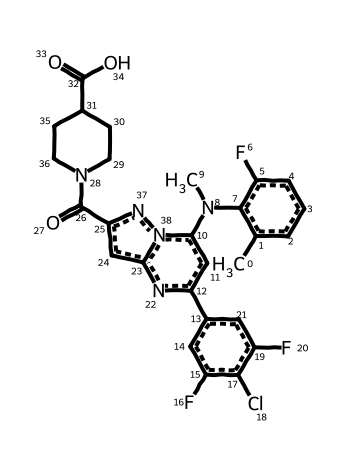 Cc1cccc(F)c1N(C)c1cc(-c2cc(F)c(Cl)c(F)c2)nc2cc(C(=O)N3CCC(C(=O)O)CC3)nn12